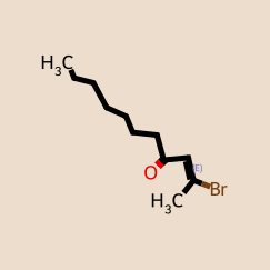 CCCCCCCC(=O)/C=C(\C)Br